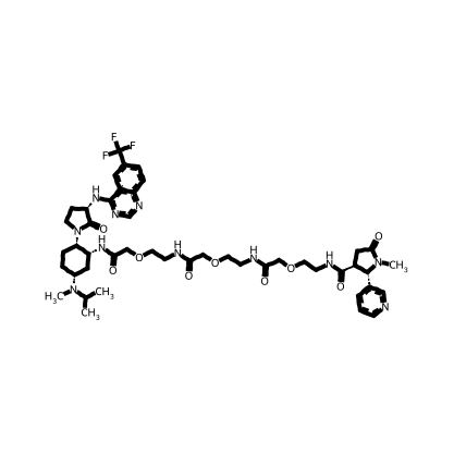 CC(C)N(C)[C@@H]1CC[C@H](N2CC[C@H](Nc3ncnc4ccc(C(F)(F)F)cc34)C2=O)[C@H](NC(=O)COCCNC(=O)COCCNC(=O)COCCNC(=O)[C@H]2CC(=O)N(C)[C@@H]2c2cccnc2)C1